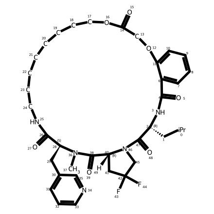 CC(C)C[C@H]1NC(=O)c2ccccc2OCC(=O)OCCCCCCCCNC(=O)[C@H](Cc2cccnc2)N(C)C(=O)[C@H]2CC(F)(F)CN2C1=O